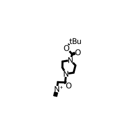 C#[N+]CC(=O)N1CCN(C(=O)OC(C)(C)C)CC1